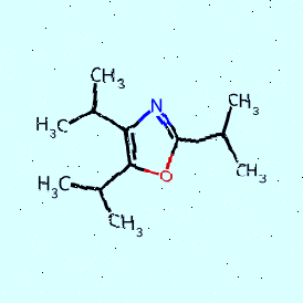 CC(C)c1nc(C(C)C)c(C(C)C)o1